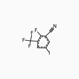 N#Cc1cc(I)cc(C(F)(F)F)c1F